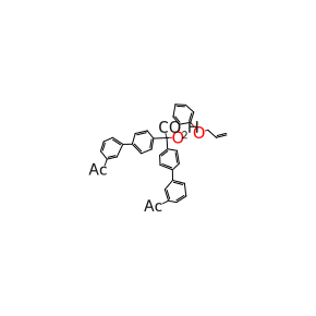 C=CCOc1ccccc1OC(C(=O)O)(c1ccc(-c2cccc(C(C)=O)c2)cc1)c1ccc(-c2cccc(C(C)=O)c2)cc1